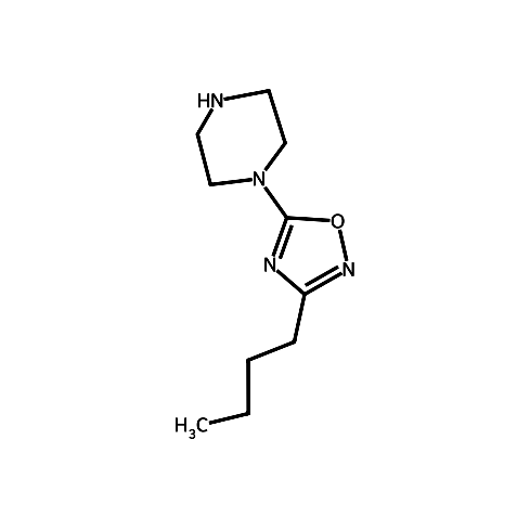 CCCCc1noc(N2CCNCC2)n1